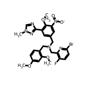 COc1ccc(CN(Cc2cc(-c3ncn(C)n3)c(OC)c([N+](=O)[O-])c2)Cc2nc(Br)ccc2F)c(OC)c1